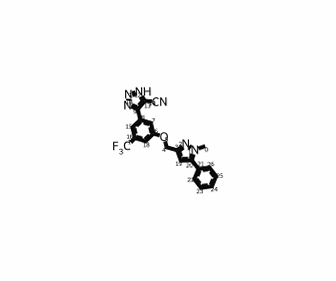 Cn1nc(COc2cc(-c3nn[nH]c3C#N)cc(C(F)(F)F)c2)cc1-c1ccccc1